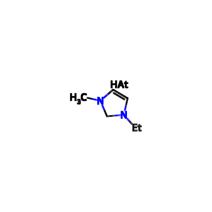 CCN1C=CN(C)C1.[AtH]